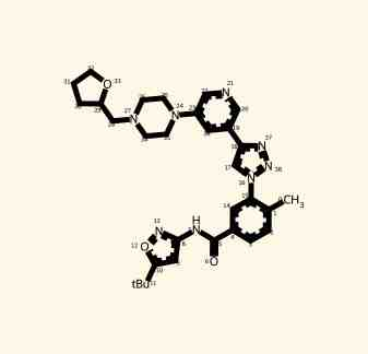 Cc1ccc(C(=O)Nc2cc(C(C)(C)C)on2)cc1-n1cc(-c2cncc(N3CCN(CC4CCCO4)CC3)c2)nn1